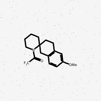 COc1ccc2c(c1)CCC1(CCCCN1C(=O)C(F)(F)F)C2